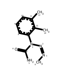 C/N=N\N(C(N)=O)c1cccc(C)c1C